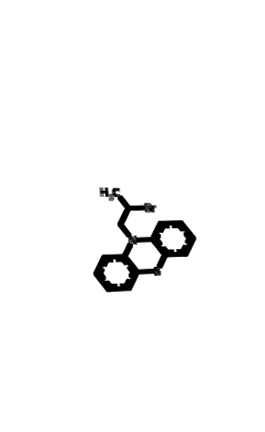 CC(Br)CN1c2ccccc2Sc2ccccc21